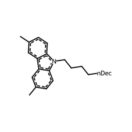 CCCCCCCCCCCCCCn1c2ccc(C)cc2c2cc(C)ccc21